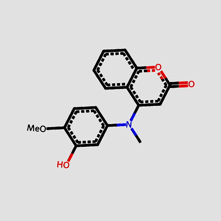 COc1ccc(N(C)c2cc(=O)oc3ccccc23)cc1O